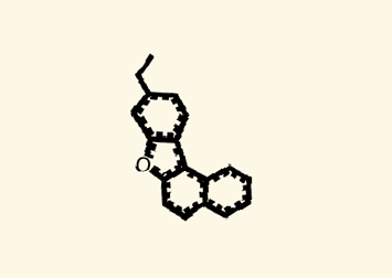 CCc1ccc2c(c1)oc1ccc3ccccc3c12